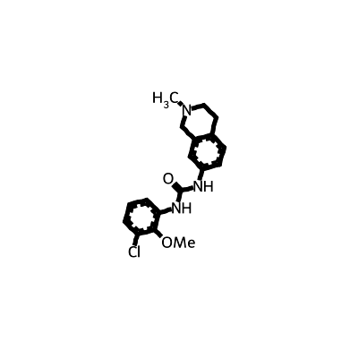 COc1c(Cl)cccc1NC(=O)Nc1ccc2c(c1)CN(C)CC2